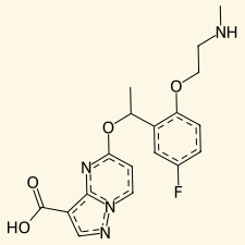 CNCCOc1ccc(F)cc1C(C)Oc1ccn2ncc(C(=O)O)c2n1